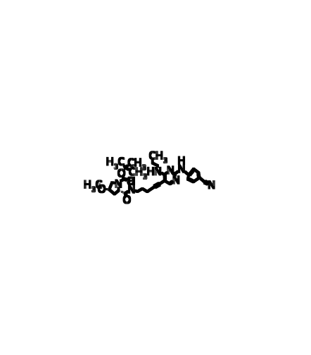 CCCNc1nc(Nc2ccc(C#N)cc2)ncc1C#CCCCNC(=O)[C@@H]1C[C@H](OC)CN1C(=O)OC(C)(C)C